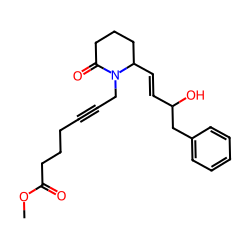 COC(=O)CCCC#CCN1C(=O)CCCC1C=CC(O)Cc1ccccc1